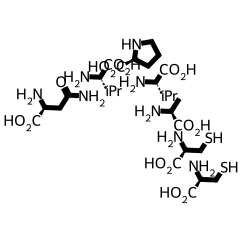 CC(C)[C@H](N)C(=O)O.CC(C)[C@H](N)C(=O)O.C[C@H](N)C(=O)O.NC(=O)C[C@H](N)C(=O)O.N[C@@H](CS)C(=O)O.N[C@@H](CS)C(=O)O.O=C(O)[C@@H]1CCCN1